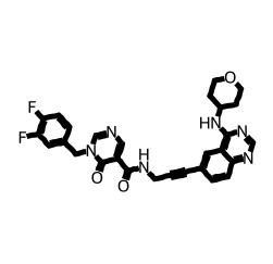 O=C(NCC#Cc1ccc2ncnc(NC3CCOCC3)c2c1)c1cncn(Cc2ccc(F)c(F)c2)c1=O